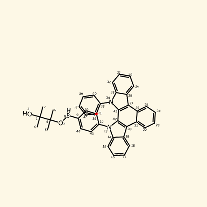 CC(C)(O)C(C)(C)OBc1ccc(-n2c3ccccc3c3c4ccccc4c4c5ccccc5n(-c5ccccc5)c4c32)cc1